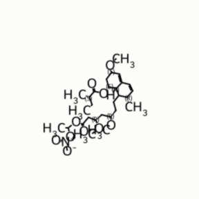 CC[C@H](C)C(=O)O[C@H]1C[C@H](OC)C=C2C=C[C@H](C)C(CC[C@H](C[C@H](CC(=O)OC(C)O[N+](=O)[O-])OC)OC)[C@H]21